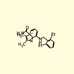 CCc1cccc(CC)c1CNC1=CC=C[N+]2(C(N)=O)C1=NC(C)=C2C